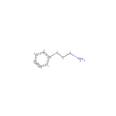 NCCCc1cc#ccc1